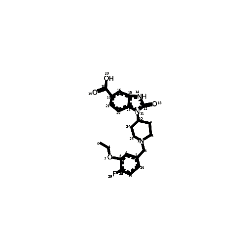 CCOc1cc(CN2CCC(n3c(=O)[nH]c4cc(C(=O)O)ccc43)CC2)ccc1F